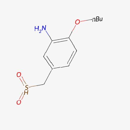 CCCCOc1ccc(C[SH](=O)=O)cc1N